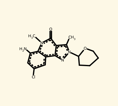 Cc1c2c(=O)n(C)c3c(N)cc(Cl)cc3c2nn1C1CCCCO1